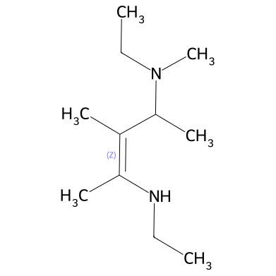 CCN/C(C)=C(/C)C(C)N(C)CC